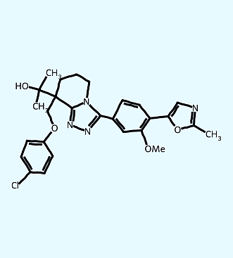 COc1cc(-c2nnc3n2CCCC3(COc2ccc(Cl)cc2)C(C)(C)O)ccc1-c1cnc(C)o1